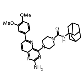 COc1ccc(-c2ccc3nc(N)nc(N4CCN(C(=O)NC56CC7CC(CC(C7)C5)C6)CC4)c3n2)cc1OC